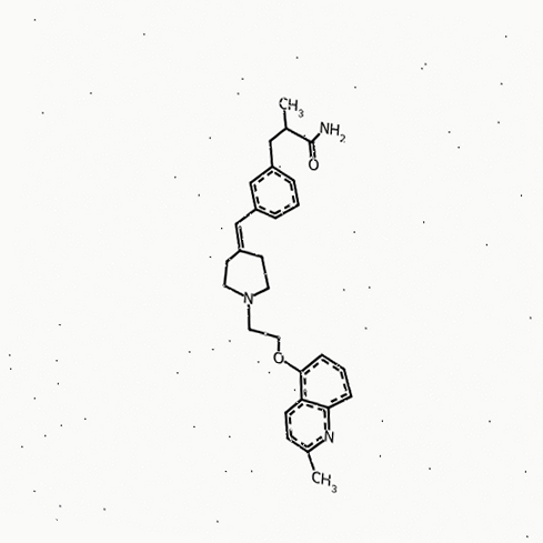 Cc1ccc2c(OCCN3CCC(=Cc4cccc(CC(C)C(N)=O)c4)CC3)cccc2n1